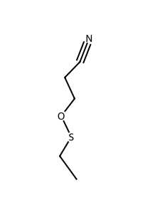 CCSOCCC#N